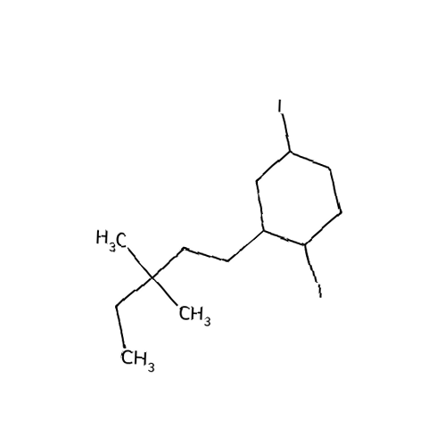 CCC(C)(C)CCC1CC(I)CCC1I